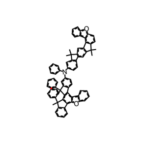 CC1(C)c2cc(N(c3ccccc3)c3ccc4c(c3)C(C)(c3ccccc3)c3c5c(c6oc7ccccc7c6c3-4)-c3ccccc3C5(C)c3ccccc3)ccc2-c2cc3c(cc21)-c1c(ccc2oc4ccccc4c12)C3(C)C